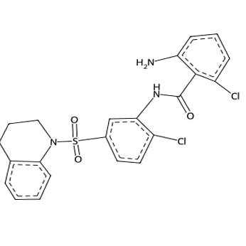 Nc1cccc(Cl)c1C(=O)Nc1cc(S(=O)(=O)N2CCCc3ccccc32)ccc1Cl